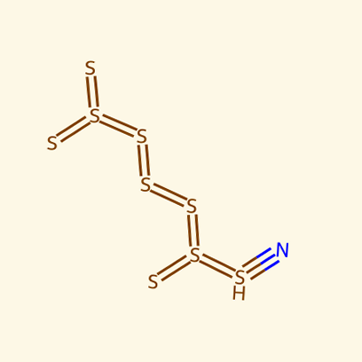 N#[SH]=S(=S)=S=S=S=S(=S)=S